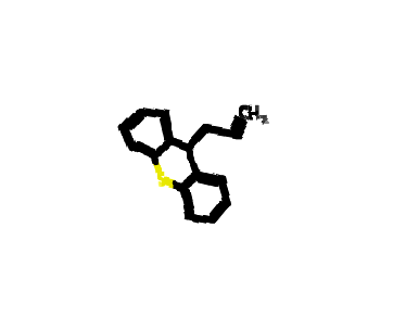 C=CCC1c2ccccc2Sc2ccccc21